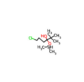 C[SiH](C)OC(O)(CCCCl)C(C)(C)C